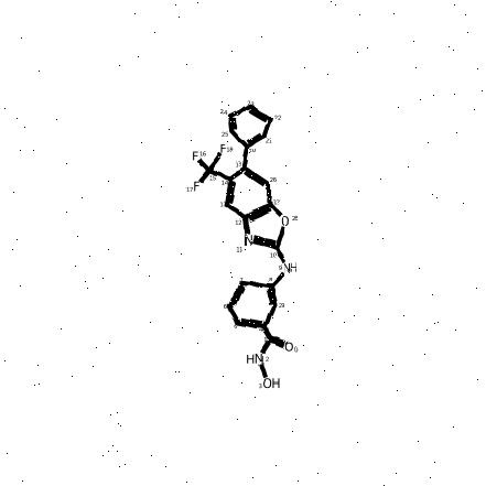 O=C(NO)c1cccc(Nc2nc3cc(C(F)(F)F)c(-c4ccccc4)cc3o2)c1